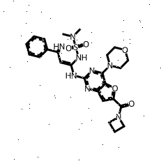 CN(C)S(=O)(=O)N/C(=C\C(=N)c1ccccc1)Nc1nc(N2CCOCC2)c2oc(C(=O)N3CCC3)cc2n1